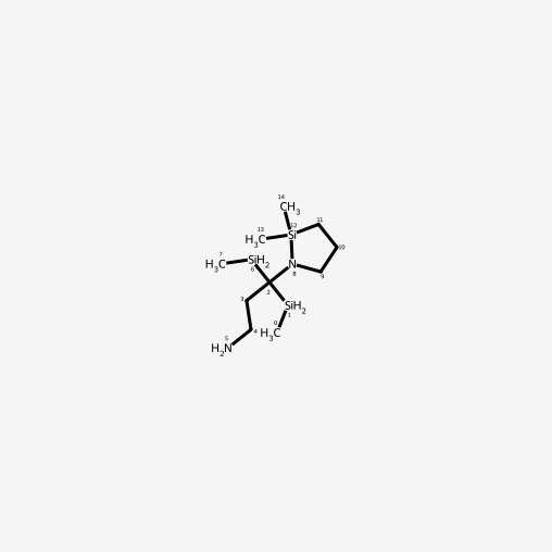 C[SiH2]C(CCN)([SiH2]C)N1CCC[Si]1(C)C